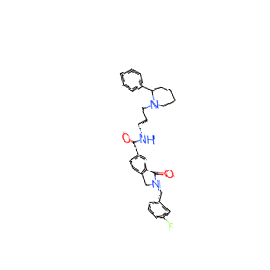 O=C(NCCCN1CCCCC1c1ccccc1)c1ccc2c(c1)C(=O)N(Cc1cccc(F)c1)C2